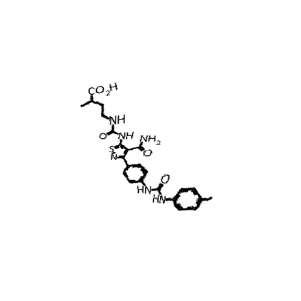 Cc1ccc(NC(=O)Nc2ccc(-c3nsc(NC(=O)NCCC(C)C(=O)O)c3C(N)=O)cc2)cc1